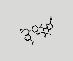 COc1cccc(N(CC2CC2)[C@H]2CC[C@@H](N(C)c3c(C#N)c(=O)n(C)c4ccc(C#N)nc34)CC2)c1